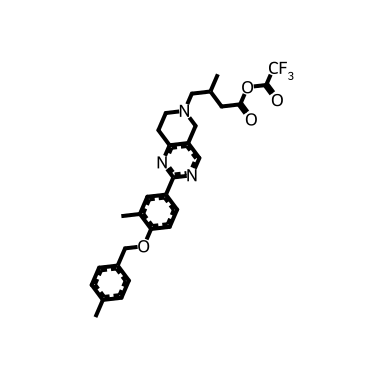 Cc1ccc(COc2ccc(-c3ncc4c(n3)CCN(CC(C)CC(=O)OC(=O)C(F)(F)F)C4)cc2C)cc1